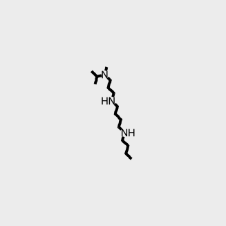 CCCCNCCCCNCCCN(C)C(C)C